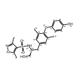 Cc1noc(C)c1S(=O)(=O)N[C@H](CO)Cc1cc(I)c(Oc2ccc(O)cc2)c(I)c1